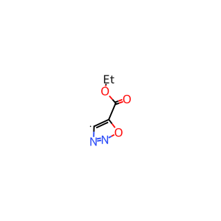 CCOC(=O)c1[c]nno1